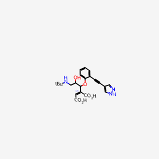 CC(C)(C)NCC(O)C(Oc1ccccc1C#Cc1cn[nH]c1)/C(=C/C(=O)O)C(=O)O